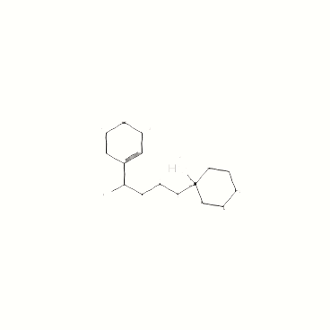 CC(CCCC1(O)CCCCC1)C1=CCCCC1